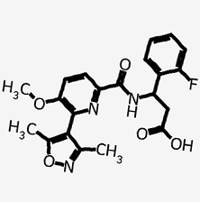 COc1ccc(C(=O)NC(CC(=O)O)c2ccccc2F)nc1-c1c(C)noc1C